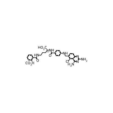 Nc1nc(N)c2c(Cl)c(CNc3ccc(C(=O)N[C@@H](CCCNC(=O)c4ccccc4C(=O)O)C(=O)O)cc3)ccc2n1